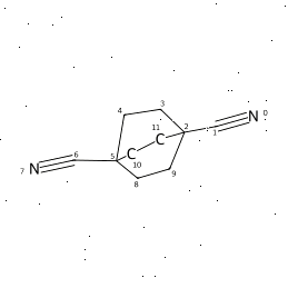 N#CC12CCC(C#N)(CC1)CC2